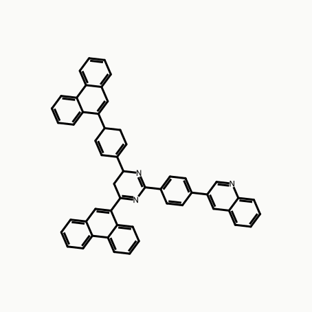 C1=CC(c2cc3ccccc3c3ccccc23)CC=C1C1CC(c2cc3ccccc3c3ccccc23)=NC(c2ccc(-c3cnc4ccccc4c3)cc2)=N1